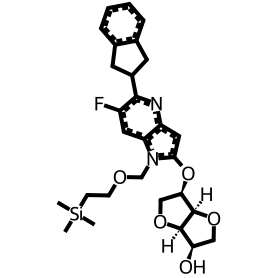 C[Si](C)(C)CCOCn1c(O[C@@H]2CO[C@H]3[C@@H]2OC[C@H]3O)cc2nc(C3Cc4ccccc4C3)c(F)cc21